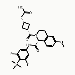 COc1ccc2c(c1)CCN(C(=O)[C@H]1C[C@@H](CC(=O)O)C1)[C@H]2C(=O)Nc1cc(F)c([Si](C)(C)C)c(F)c1